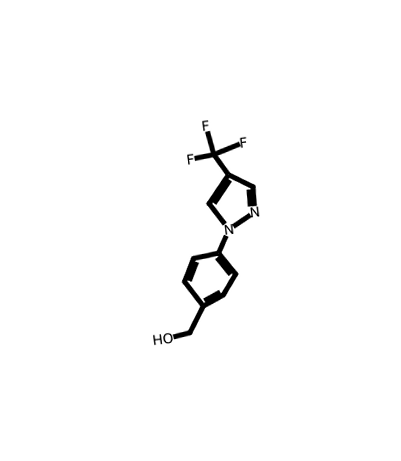 OCc1ccc(-n2cc(C(F)(F)F)cn2)cc1